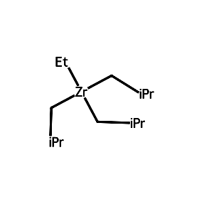 C[CH2][Zr]([CH2]C(C)C)([CH2]C(C)C)[CH2]C(C)C